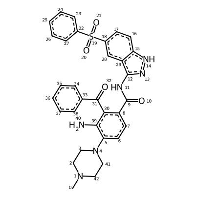 CN1CCN(c2ccc(C(=O)Nc3n[nH]c4ccc(S(=O)(=O)c5ccccc5)cc34)c(C(=O)c3ccccc3)c2N)CC1